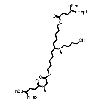 CCCCCCCC(CCCCC)CCC(=O)OCCCCCC(CCCCCOC(=O)CN(C)C(=O)CCC(CCCC)CCCCCC)N(C)CCCCO